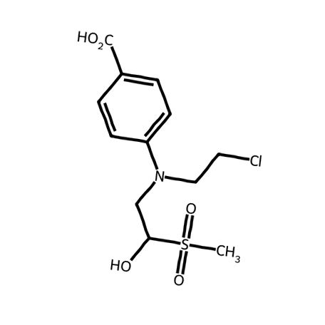 CS(=O)(=O)C(O)CN(CCCl)c1ccc(C(=O)O)cc1